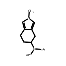 CCCN(CCC)C1CCc2cn(C)cc2C1